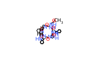 COCCNC[C@@H]1NC(=O)[C@H](Cc2c[nH]c3ccccc23)NC(=O)C2(CCCC2)NC(=O)[C@H](Cc2c[nH]c3ccccc23)NC(=O)[C@@H]2C[C@@H]3CCCC[C@@H]3N2C(=O)[C@H]2CCCN2C1=O